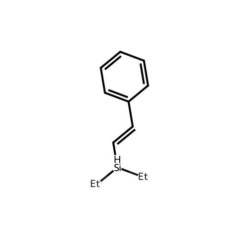 CC[SiH](C=Cc1ccccc1)CC